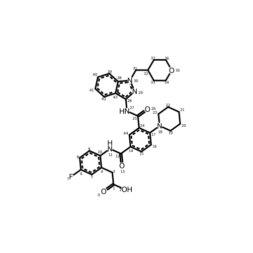 O=C(O)Cc1cc(F)ccc1NC(=O)c1ccc(N2CCCCC2)c(C(=O)Nc2nn(CC3CCOCC3)c3ccccc23)c1